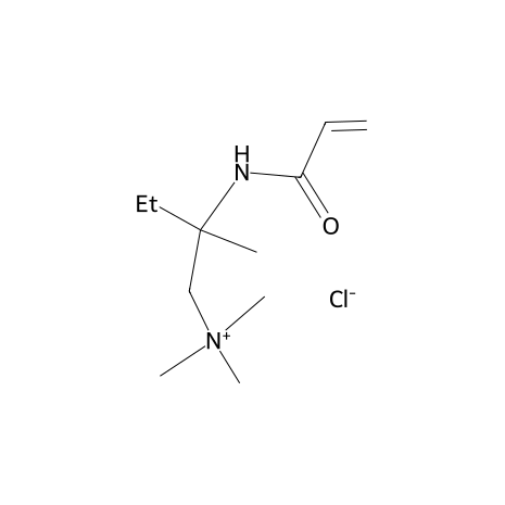 C=CC(=O)NC(C)(CC)C[N+](C)(C)C.[Cl-]